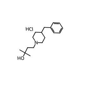 CC(C)(O)CCN1CCC(Cc2ccccc2)CC1.Cl